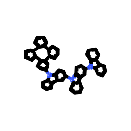 c1ccc2c(c1)-c1ccccc1-c1ccc(-n3c4ccccc4c4cc(-n5c6ccccc6c6cc(-n7c8ccccc8c8ccccc87)ccc65)ccc43)cc1-c1ccccc1-2